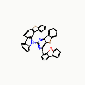 c1ccc2c(c1)oc1c(-c3nc(-n4c5ccccc5c5ccc6sc7ccccc7c6c54)nc4c3sc3ccccc34)cccc12